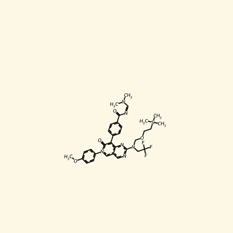 COc1ccc(-n2cc3cnc(N(COCC[Si](C)(C)C)CC(F)(F)F)nc3c(-c3ccc(C(=O)/N=C\N(C)C)cc3)c2=O)cc1